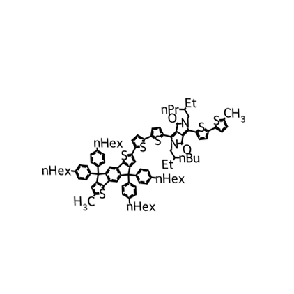 CCCCCCc1ccc(C2(c3ccc(CCCCCC)cc3)c3cc4c(cc3-c3sc(C)cc32)C(c2ccc(CCCCCC)cc2)(c2ccc(CCCCCC)cc2)c2cc(-c3ccc(-c5ccc(C6=C7C(=O)N(CC(CC)CCC)C(c8ccc(-c9ccc(C)s9)s8)=C7C(=O)N6CC(CC)CCCC)s5)s3)sc2-4)cc1